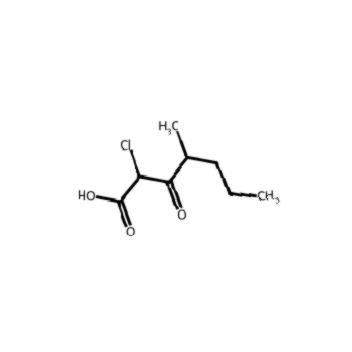 CCCC(C)C(=O)C(Cl)C(=O)O